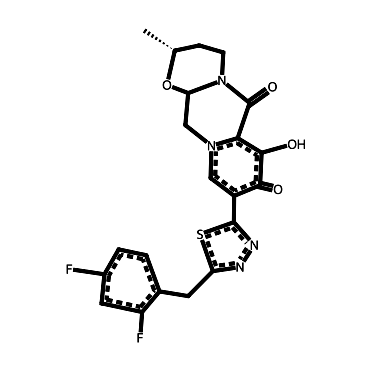 C[C@@H]1CCN2C(=O)c3c(O)c(=O)c(-c4nnc(Cc5ccc(F)cc5F)s4)cn3CC2O1